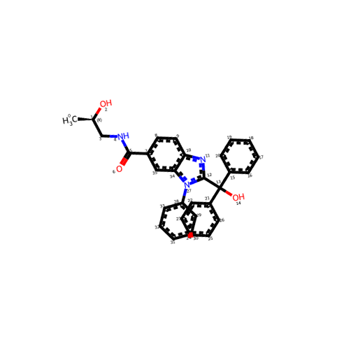 C[C@@H](O)CNC(=O)c1ccc2nc(C(O)(c3ccccc3)c3ccccc3)n(-c3ccccc3)c2c1